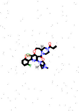 C=CC(=O)N1CCN2C(=O)c3c(N4CC5C[C@H]4CN5C)nc(-c4c(O)cccc4F)c(Cl)c3OCC[C@H]2C1